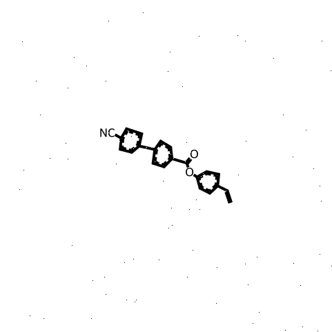 C=Cc1ccc(OC(=O)c2ccc(-c3ccc(C#N)cc3)cc2)cc1